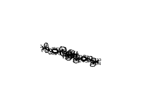 C=C(C)C(=O)OCOc1ccc(C(=O)OC2CO[C@@H]3[C@@H](OC(=O)c4ccc(OCOC(=O)C(=C)C)cc4)CO[C@H]23)cc1